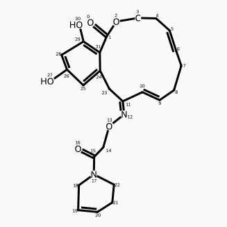 O=C1OCC/C=C/CC/C=C/C(=N/OCC(=O)N2CC=CCC2)Cc2cc(O)cc(O)c21